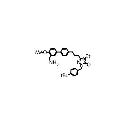 CCn1c(CCCc2ccc(-c3ccc(OC)c(CN)c3)cc2)nn(Cc2ccc(C(C)(C)C)cc2)c1=O